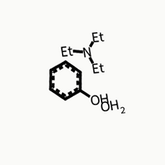 CCN(CC)CC.O.Oc1ccccc1